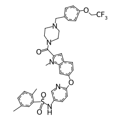 Cc1ccc(C)c(S(=O)(=O)Nc2ccc(Oc3ccc4cc(C(=O)N5CCN(Cc6ccc(OCC(F)(F)F)cc6)CC5)n(C)c4c3)nc2)c1